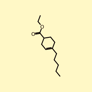 CCCCCC1=CCC(C(=O)OCC)CC1